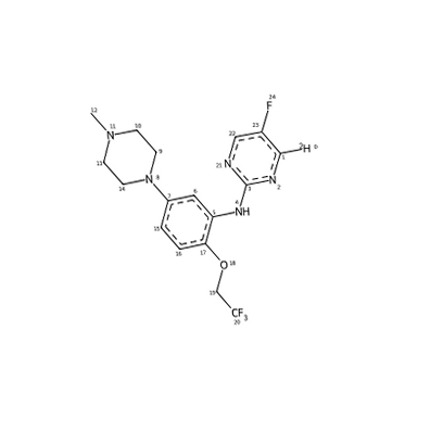 [2H]c1nc(Nc2cc(N3CCN(C)CC3)ccc2OCC(F)(F)F)ncc1F